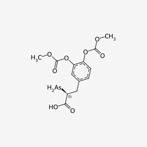 COC(=O)Oc1ccc(C[C@H]([AsH2])C(=O)O)cc1OC(=O)OC